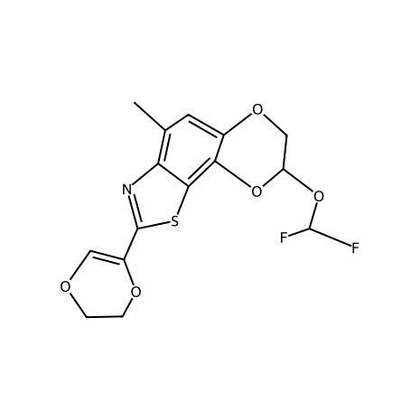 Cc1cc2c(c3sc(C4=COCCO4)nc13)OC(OC(F)F)CO2